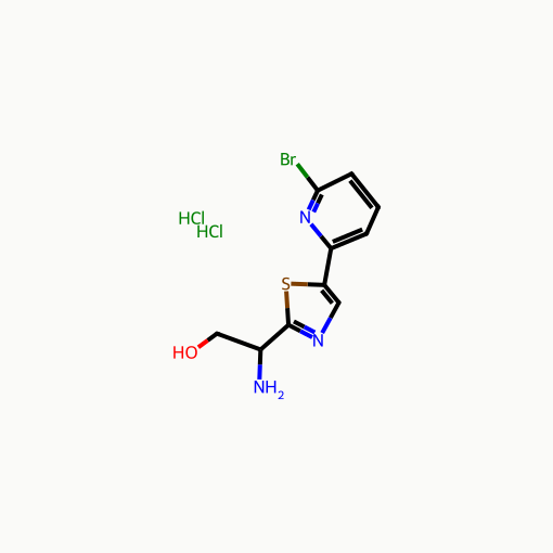 Cl.Cl.NC(CO)c1ncc(-c2cccc(Br)n2)s1